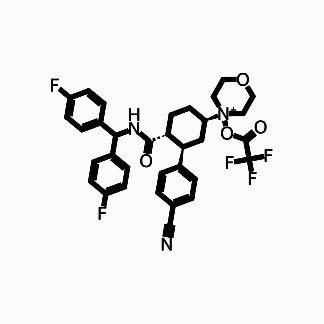 N#Cc1ccc([C@@H]2C[C@H]([N+]3(OC(=O)C(F)(F)F)CCOCC3)CC[C@H]2C(=O)NC(c2ccc(F)cc2)c2ccc(F)cc2)cc1